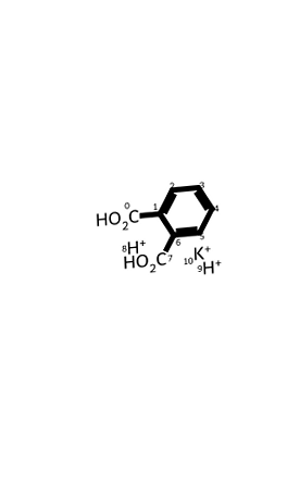 O=C(O)c1ccccc1C(=O)O.[H+].[H+].[K+]